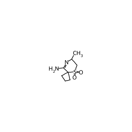 CC1CS(=O)(=O)C2(CCC2)C(N)=N1